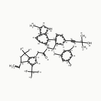 C=C[C@H]1CC(F)(F)c2c1c(C(F)(F)F)nn2CC(=O)N[C@@H](Cc1cc(F)cc(F)c1)c1nc(C#CC(C)(C)O)ccc1-c1cccc2c(N)n[nH]c12